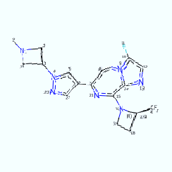 CN1CC(n2cc(-c3cn4c(F)cnc4c(N4CC[C@@H]4C(F)(F)F)n3)cn2)C1